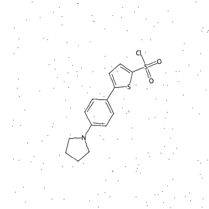 O=S(=O)(Cl)c1ccc(-c2ccc(N3CCCC3)cc2)s1